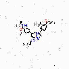 CNC(=O)c1ccc(-c2cnc3c(NCCC(F)(F)F)cc(-c4ccc(C(=O)NC5(C)CC5)c(C)c4)cn23)cc1C